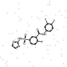 O=C(Nc1ccc(F)c(F)c1)c1cc(S(=O)(=O)Nc2ncco2)ccc1F